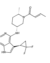 C/C=C/C(=O)N1C[C@H](Nc2ncnc3[nH]cc([C@H]4CC4(F)F)c23)CC[C@@H]1C